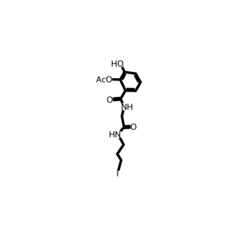 CC(=O)Oc1c(O)cccc1C(=O)NCC(=O)NCCCI